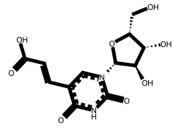 O=C(O)/C=C/c1cn([C@@H]2O[C@H](CO)[C@H](O)[C@H]2O)c(=O)[nH]c1=O